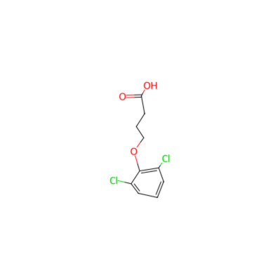 O=C(O)CCCOc1c(Cl)cccc1Cl